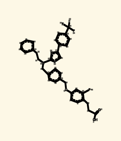 O=C(O)CCc1ccc(OCc2ccc(CN(CCc3ccccc3)c3nc(-c4ccc(C(F)(F)F)cc4)cs3)cc2)cc1F